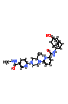 CNC(=O)c1ccc(N2CCN(c3cccc(C(=O)NC4C5CC6CC4CC(O)(C6)C5)n3)C(C)C2)nc1